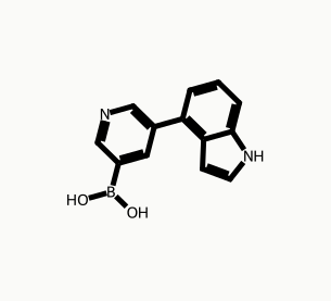 OB(O)c1cncc(-c2cccc3[nH]ccc23)c1